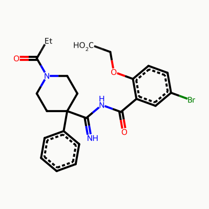 CCC(=O)N1CCC(C(=N)NC(=O)c2cc(Br)ccc2OCC(=O)O)(c2ccccc2)CC1